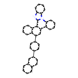 c1ccc2cc(-c3ccc(-c4cc5c6ccccc6n6c7ccccc7nc6c5c5ccccc45)cc3)ccc2c1